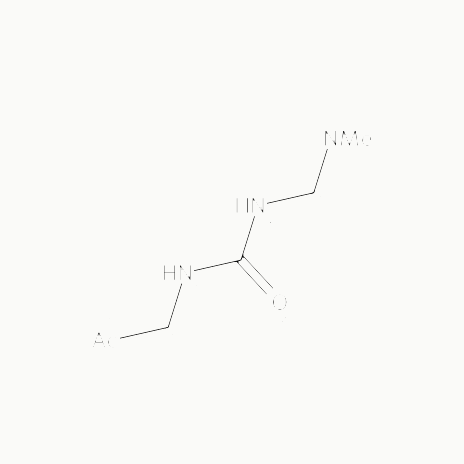 CNCNC(=O)NCC(C)=O